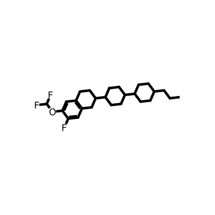 CCCC1CCC(C2CCC(C3CCc4cc(OC(F)F)c(F)cc4C3)CC2)CC1